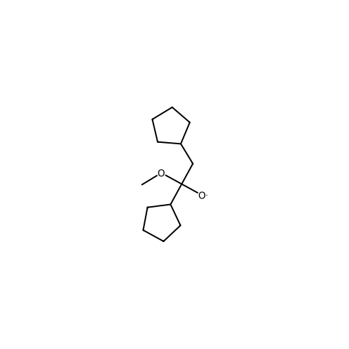 COC([O])(CC1CCCC1)C1CCCC1